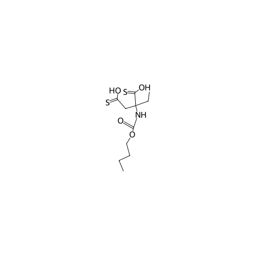 CCCCOC(=O)NC(CC)(CC(O)=S)C(O)=S